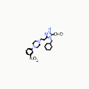 O=CC1NN=C(CCN2CCN(c3cccc([N+](=O)[O-])c3)CC2)N1CC1CCCCC1